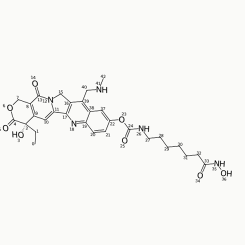 CC[C@@]1(O)C(=O)OCc2c1cc1n(c2=O)Cc2c-1nc1ccc(OC(=O)NCCCCCCC(=O)NO)cc1c2CNC